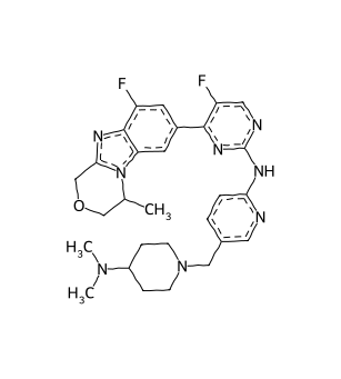 CC1COCc2nc3c(F)cc(-c4nc(Nc5ccc(CN6CCC(N(C)C)CC6)cn5)ncc4F)cc3n21